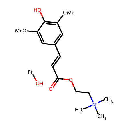 CCO.COc1cc(C=CC(=O)OCC[N+](C)(C)C)cc(OC)c1O